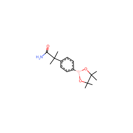 CC(C)(C(N)=O)c1ccc(B2OC(C)(C)C(C)(C)O2)cc1